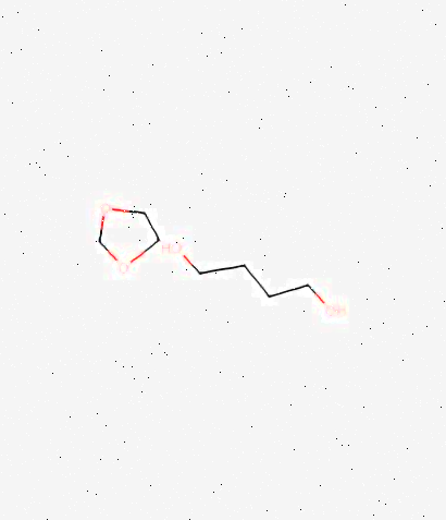 C1COCO1.OCCCCO